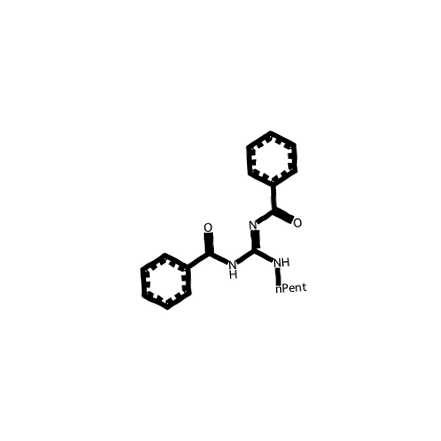 CCCCCN/C(=N\C(=O)c1ccccc1)NC(=O)c1ccccc1